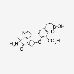 CC(N)(C(=O)N1CC(Oc2ccc3c(c2C(=O)O)OB(O)CC3)C1)C1=CCC=N1